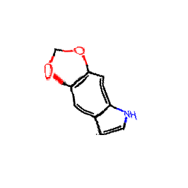 [c]1c[nH]c2cc3c(cc12)OCO3